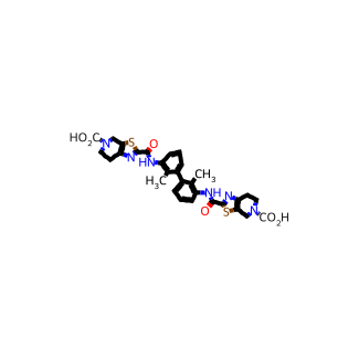 Cc1c(NC(=O)c2nc3c(s2)CN(C(=O)O)CC3)cccc1-c1cccc(NC(=O)c2nc3c(s2)CN(C(=O)O)CC3)c1C